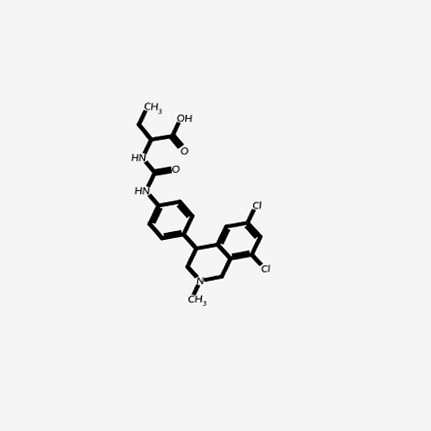 CCC(NC(=O)Nc1ccc(C2CN(C)Cc3c(Cl)cc(Cl)cc32)cc1)C(=O)O